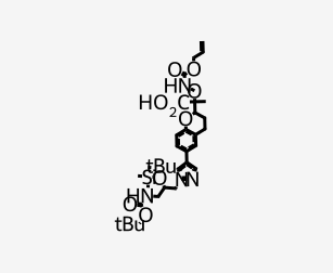 C=CCOC(=O)NOC(C)(C(=O)O)C1CCc2cc(-c3cnn(CC(CNC(=O)OC(C)(C)C)O[Si](C)(C)C(C)(C)C)c3)ccc2O1